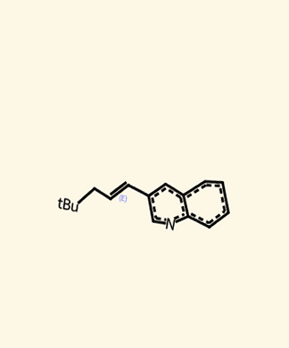 CC(C)(C)C/C=C/c1cnc2ccccc2c1